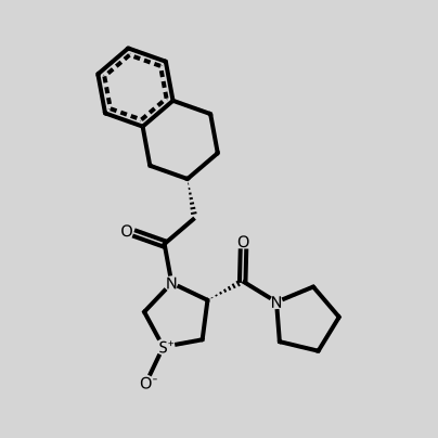 O=C([C@@H]1C[S+]([O-])CN1C(=O)C[C@H]1CCc2ccccc2C1)N1CCCC1